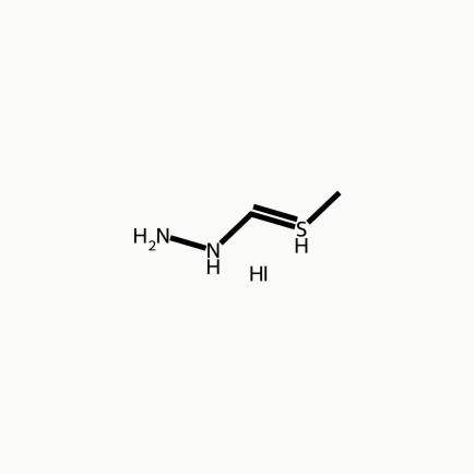 C[SH]=CNN.I